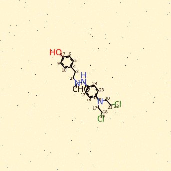 O=CN(CCc1ccc(O)cc1)Nc1ccc(N(CCCl)CCCl)cc1